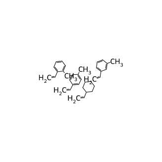 C=CC1CCCCC1.C=Cc1ccc(C)cc1.C=Cc1cccc(C)c1.C=Cc1ccccc1C